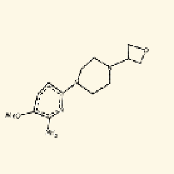 COc1ccc(N2CCN(C3COC3)CC2)nc1N